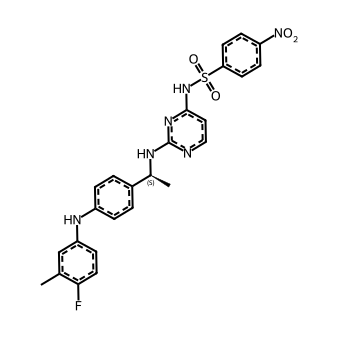 Cc1cc(Nc2ccc([C@H](C)Nc3nccc(NS(=O)(=O)c4ccc([N+](=O)[O-])cc4)n3)cc2)ccc1F